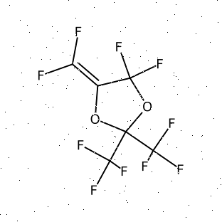 FC(F)=C1OC(C(F)(F)F)(C(F)(F)F)OC1(F)F